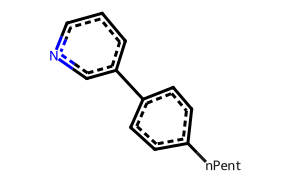 CCCCCc1ccc(-c2cccnc2)cc1